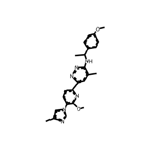 COc1ccc(C(C)Nc2nnc(-c3ccc(-n4cnc(C)c4)c(OC)n3)cc2C)cc1